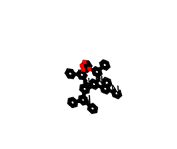 c1ccc(-c2cc(-c3ccccc3)cc(N3c4cc5c(cc4-c4ccc(-c6ccccn6)c6cccc3c46)c3cc(-c4cc(-c6ccccc6)cc(-c6ccccc6)n4)ccc3n5-c3cc(-c4ccccc4)cc(-c4ccccc4)c3)c2)cc1